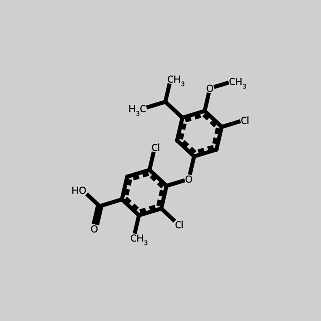 COc1c(Cl)cc(Oc2c(Cl)cc(C(=O)O)c(C)c2Cl)cc1C(C)C